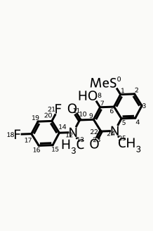 CSc1cccc2c1c(O)c(C(=O)N(C)c1ccc(F)cc1F)c(=O)n2C